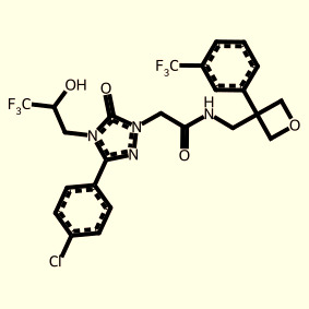 O=C(Cn1nc(-c2ccc(Cl)cc2)n(CC(O)C(F)(F)F)c1=O)NCC1(c2cccc(C(F)(F)F)c2)COC1